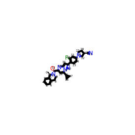 C[C@@H]1c2ccccc2CCN1C(=O)c1cc(C2CC2)n2nc(-c3ccc(N4CC[C@@H](C#N)C4)cc3F)cc2n1